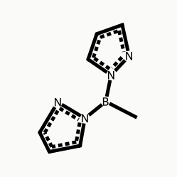 CB(n1cccn1)n1cccn1